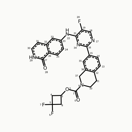 O=C(OC1CC(F)(F)C1)N1CCc2ccc(-c3ncc(F)c(Nc4ccc5c(=O)[nH]ccc5c4)n3)cc2C1